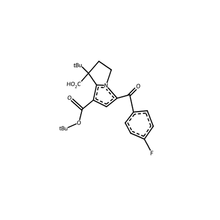 CC(C)(C)OC(=O)c1cc(C(=O)c2ccc(F)cc2)n2c1C(C(=O)O)(C(C)(C)C)CC2